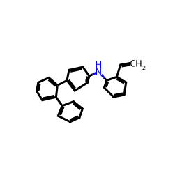 C=Cc1ccccc1Nc1ccc(-c2ccccc2-c2ccccc2)cc1